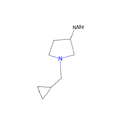 CNC1CCN(CC2CC2)C1